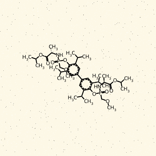 COCP(=O)(N[C@@H](C)C(=O)OC(C)C)Oc1c(C(C)C)cc(-c2cc(C(C)C)c(OP(=O)(COC)N[C@@H](C)C(=O)OC(C)C)c(C(C)C)c2)cc1C(C)C